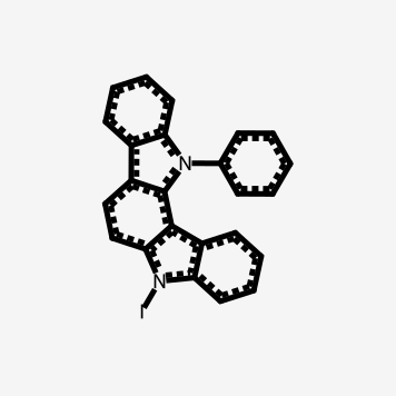 In1c2ccccc2c2c1ccc1c3ccccc3n(-c3ccccc3)c12